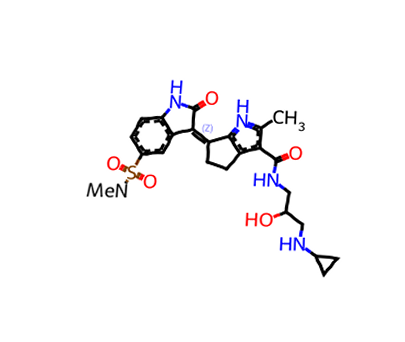 CNS(=O)(=O)c1ccc2c(c1)/C(=C1\CCc3c1[nH]c(C)c3C(=O)NCC(O)CNC1CC1)C(=O)N2